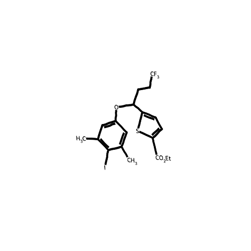 CCOC(=O)c1ccc(C(CCC(F)(F)F)Oc2cc(C)c(I)c(C)c2)s1